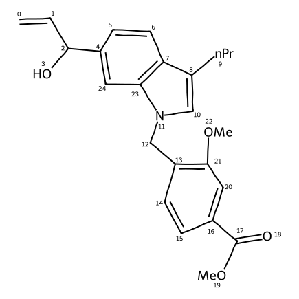 C=CC(O)c1ccc2c(CCC)cn(Cc3ccc(C(=O)OC)cc3OC)c2c1